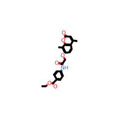 CCOC(=O)c1ccc(NC(=O)COc2ccc3c(C)cc(=O)oc3c2C)cc1